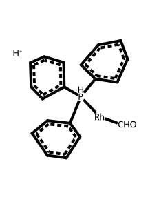 O=[CH][Rh][PH](c1ccccc1)(c1ccccc1)c1ccccc1.[H-]